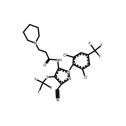 N#Cc1nn(-c2c(Cl)cc(C(F)(F)F)cc2Cl)c(NC(=O)CCN2CCCCC2)c1SC(F)(F)F